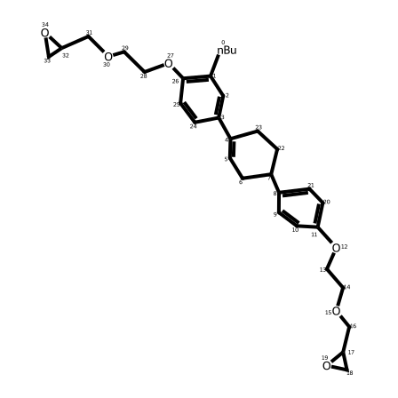 CCCCc1cc(C2=CCC(c3ccc(OCCOCC4CO4)cc3)CC2)ccc1OCCOCC1CO1